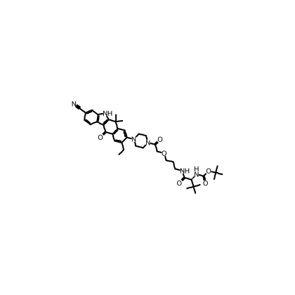 CCc1cc2c(cc1N1CCN(C(=O)COCCCNC(=O)[C@@H](NC(=O)OC(C)(C)C)C(C)(C)C)CC1)C(C)(C)c1[nH]c3cc(C#N)ccc3c1C2=O